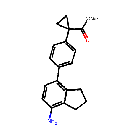 COC(=O)C1(c2ccc(-c3ccc(N)c4c3CCC4)cc2)CC1